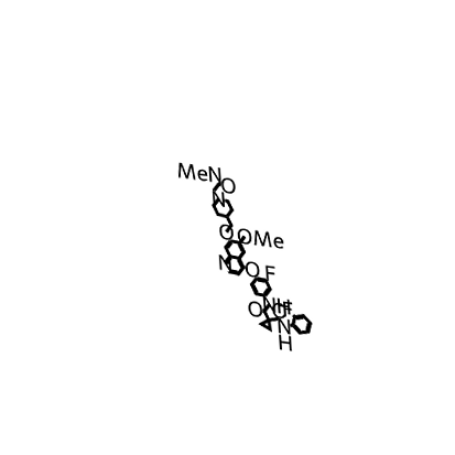 CNC(=O)CN1CCC(COc2cc3nccc(Oc4ccc(NC(=O)C5(C(=O)Nc6ccccc6F)CC5)cc4F)c3cc2OC)CC1